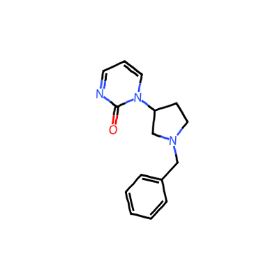 O=c1ncccn1C1CCN(Cc2ccccc2)C1